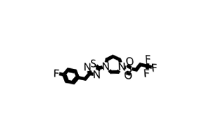 O=S(=O)(CCC(F)(F)F)N1CCCN(c2nc(Cc3ccc(F)cc3)ns2)CC1